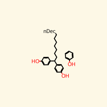 CCCCCCCCCCCCCCCCCC(c1ccc(O)cc1)c1ccc(O)cc1.Oc1ccccc1